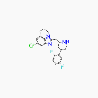 Fc1ccc(F)c(C2=CCNC(Cc3nc4cc(Cl)cc5c4n3CCC5)C2)c1